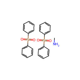 CN.O=S(=O)(c1ccccc1)c1ccccc1.O=S(=O)(c1ccccc1)c1ccccc1